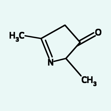 CC1=NC(C)C(=O)C1